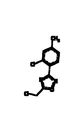 Cc1ccc(-c2noc(CCl)n2)c(Cl)c1